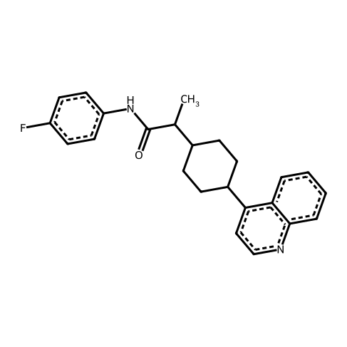 CC(C(=O)Nc1ccc(F)cc1)C1CCC(c2ccnc3ccccc23)CC1